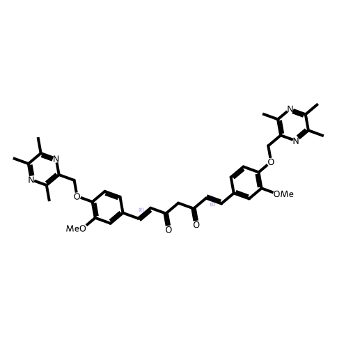 COc1cc(/C=C/C(=O)CC(=O)/C=C/c2ccc(OCc3nc(C)c(C)nc3C)c(OC)c2)ccc1OCc1nc(C)c(C)nc1C